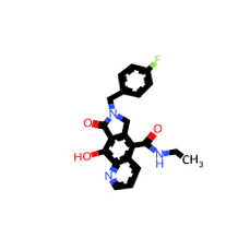 CCNC(=O)c1c2c(c(O)c3ncccc13)C(=O)N(Cc1ccc(F)cc1)C2